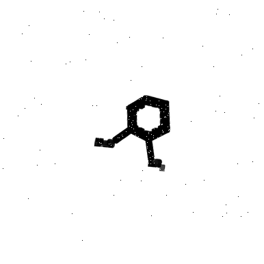 COc1[c]cccc1[N+](=O)[O-]